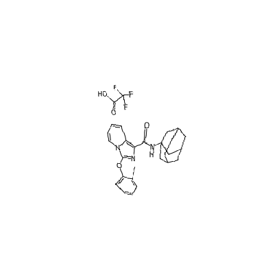 Cc1ccccc1Oc1nc(C(=O)NC23CC4CC(CC(C4)C2)C3)c2ccccn12.O=C(O)C(F)(F)F